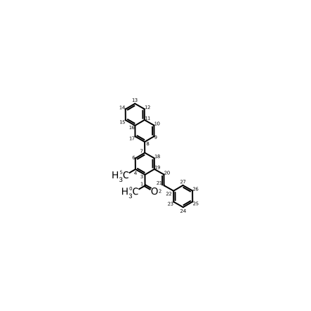 CC(=O)c1c(C)cc(-c2ccc3ccccc3c2)cc1/C=C/c1ccccc1